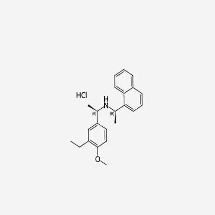 CCc1cc([C@@H](C)N[C@H](C)c2cccc3ccccc23)ccc1OC.Cl